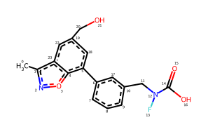 Cc1noc2c(-c3cccc(CN(F)C(=O)O)c3)cc(CO)cc12